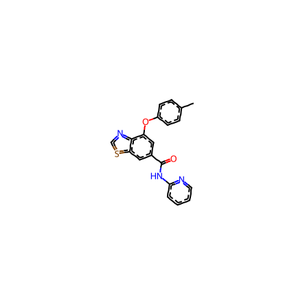 Cc1ccc(Oc2cc(C(=O)Nc3ccccn3)cc3scnc23)cc1